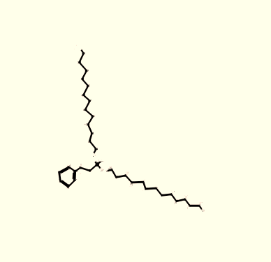 CCCCCCCCCCCCCCOC(C)(CCc1ccccc1)OCCCCCCCCCCCCCC